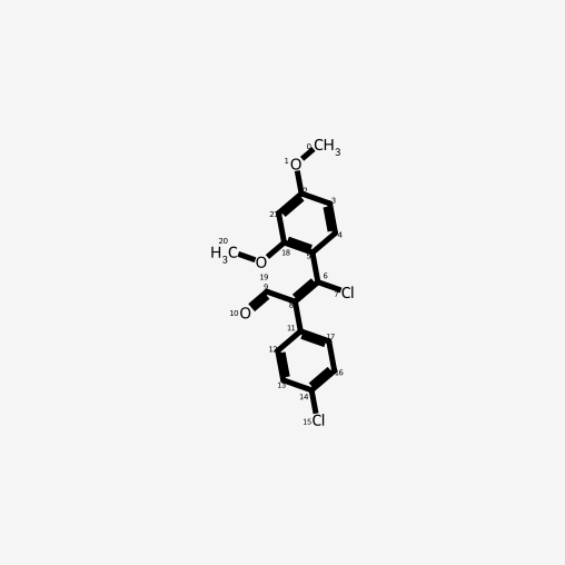 COc1ccc(C(Cl)=C(C=O)c2ccc(Cl)cc2)c(OC)c1